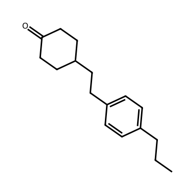 CCCc1ccc(CCC2CCC(=O)CC2)cc1